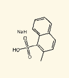 Cc1ccc2ccccc2c1S(=O)(=O)O.[NaH]